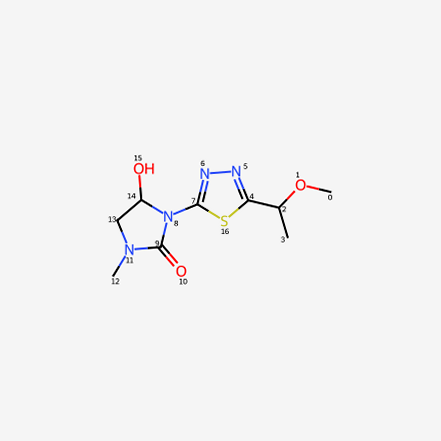 COC(C)c1nnc(N2C(=O)N(C)CC2O)s1